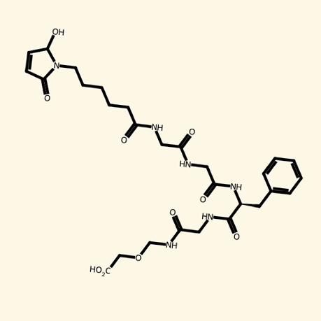 O=C(O)COCNC(=O)CNC(=O)[C@H](Cc1ccccc1)NC(=O)CNC(=O)CNC(=O)CCCCCN1C(=O)C=CC1O